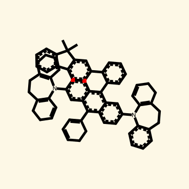 CC1(C)c2ccccc2-c2ccc(-c3ccccc3-c3c4ccc(N5C6=C(CCC=C6)CCC6=C5C=CCC6)cc4c(C4=CC=CCC4)c4ccc(N5C6=C(CCC=C6)CCc6ccccc65)cc34)cc21